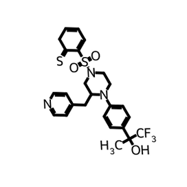 CC(O)(c1ccc(N2CCN(S(=O)(=O)C3=CC=CCC3=S)CC2Cc2ccncc2)cc1)C(F)(F)F